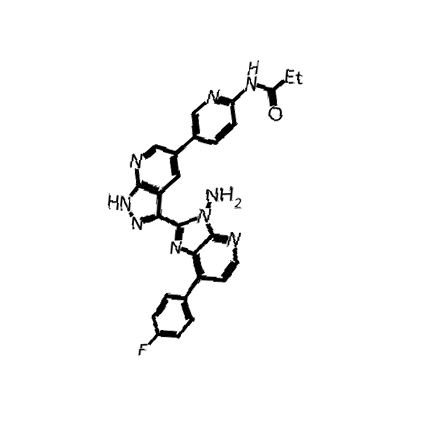 CCC(=O)Nc1ccc(-c2cnc3[nH]nc(-c4nc5c(-c6ccc(F)cc6)ccnc5n4N)c3c2)cn1